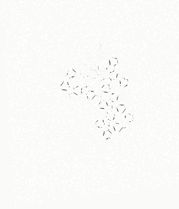 CCCCCCCC1(CCCCCCC)c2ccccc2-c2c1c1c(c3c2oc2ccccc23)-c2ccc(N(c3ccc4c(c3)C(C)(C)c3cc5c(cc3-4)C(C)(C)c3ccc4oc6ccccc6c4c3-5)c3ccc4c(c3)C3(c5ccccc5-c5ccccc53)c3cc5c(cc3-4)C3(c4ccccc4-c4ccccc43)c3ccc4oc6ccccc6c4c3-5)cc2C1(CCCCCCC)CCCCCCC